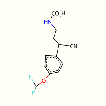 N#CC(CCNC(=O)O)c1ccc(OC(F)F)cc1